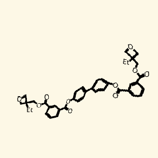 CCC1(COC(=O)c2cccc(C(=O)Oc3ccc(-c4ccc(OC(=O)c5cccc(C(=O)OCC6(CC)COC6)c5)cc4)cc3)c2)COC1